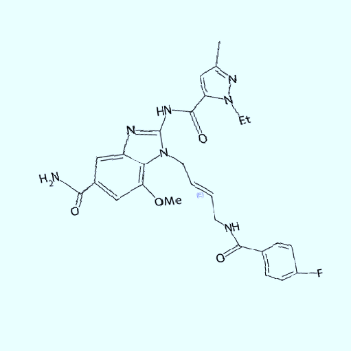 CCn1nc(C)cc1C(=O)Nc1nc2cc(C(N)=O)cc(OC)c2n1C/C=C/CNC(=O)c1ccc(F)cc1